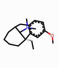 CC[C@@]12CCCCC(Cc3ccc(OC)cc31)C2N(C)C